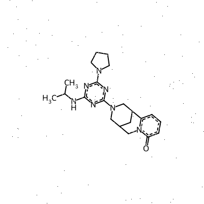 CC(C)Nc1nc(N2CCCC2)nc(N2CC3CC(C2)c2cccc(=O)n2C3)n1